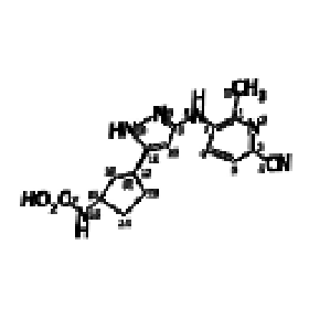 Cc1nc(C#N)ccc1Nc1cc([C@H]2CCC(NC(=O)O)C2)[nH]n1